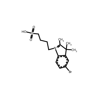 CC1=[N+](CCCCS(=O)(=O)O)c2ccc(Br)cc2C1(C)C